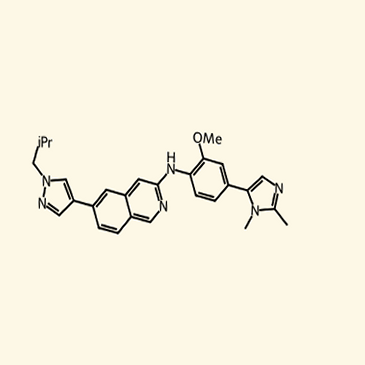 COc1cc(-c2cnc(C)n2C)ccc1Nc1cc2cc(-c3cnn(CC(C)C)c3)ccc2cn1